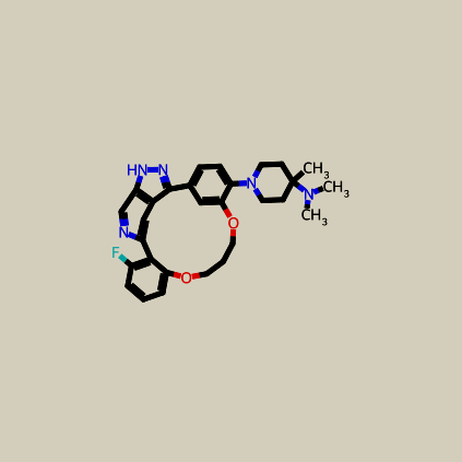 CN(C)C1(C)CCN(c2ccc3cc2OCCCOc2cccc(F)c2-c2cc4c-3n[nH]c4cn2)CC1